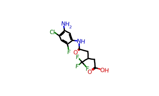 Nc1cc(NC(=O)CC(CC(=O)O)C(F)(F)F)c(F)cc1Cl